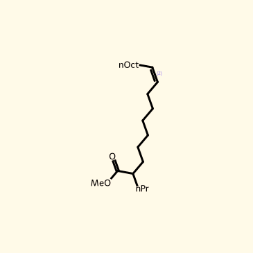 CCCCCCCC/C=C\CCCCCCC(CCC)C(=O)OC